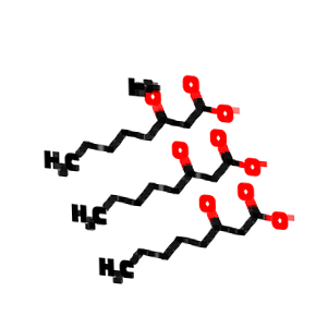 CCCCCC(=O)CC(=O)[O-].CCCCCC(=O)CC(=O)[O-].CCCCCC(=O)CC(=O)[O-].[In+3]